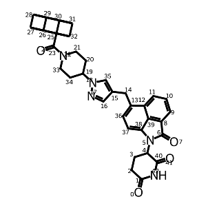 O=C1CCC(N2C(=O)c3cccc4c(Cc5cnn(C6CCN(C(=O)C78C9C%10C%11C9C7C%11C%108)CC6)c5)ccc2c34)C(=O)N1